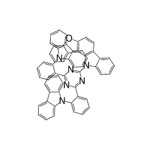 c1ccc(-n2c3ccccc3c3ccccc32)c(-c2nc(-c3ccccc3-n3c4ccccc4c4ccccc43)nc(-n3c4ccccc4c4ccc5oc6ccccc6c5c43)n2)c1